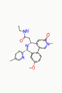 CCNC(=O)CC1N=C(c2ccc(C)cn2)c2cc(OC)ccc2-c2cn(C)c(=O)cc21